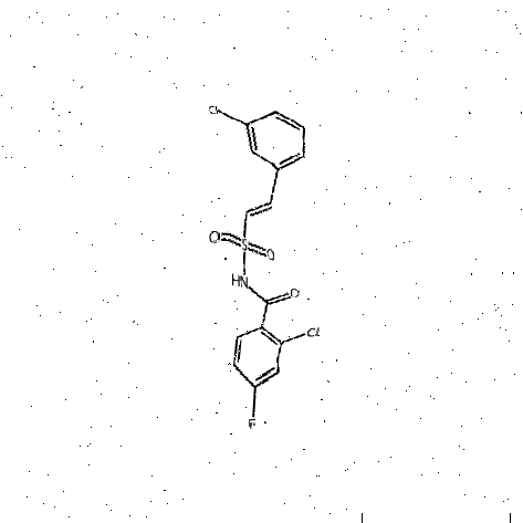 O=C(NS(=O)(=O)/C=C/c1cccc(Cl)c1)c1ccc(F)cc1Cl